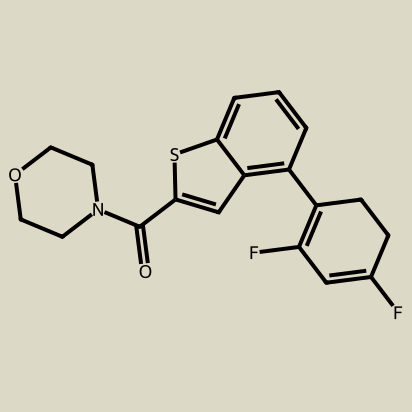 O=C(c1cc2c(C3=C(F)C=C(F)CC3)cccc2s1)N1CCOCC1